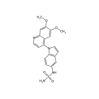 COc1cc2nccc(-n3ccc4cc(NS(N)(=O)=O)ccc43)c2cc1OC